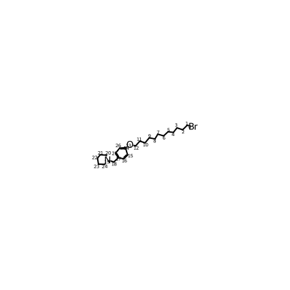 BrCCCCCCCCCCCCOc1ccc(CN2CCCCC2)cc1